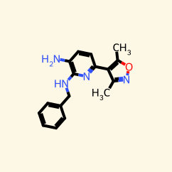 Cc1noc(C)c1-c1ccc(N)c(NCc2ccccc2)n1